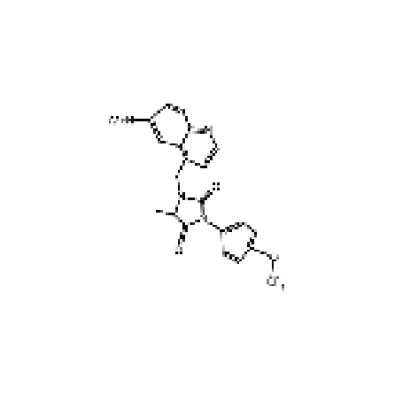 CNc1ccc2nccc(CN3C(=O)N(c4ccc(OC(F)(F)F)cc4)C(=O)C3C)c2c1